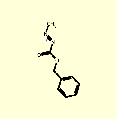 C/N=N/C(=O)OCc1ccccc1